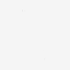 CCc1[c]c2ccc(CC)cc2cc1